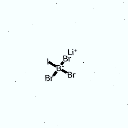 Br[B-](Br)(Br)I.[Li+]